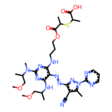 COCC(C)Nc1nc(N(C)C(C)COC)nc(NCCCOC(=O)C(C)SC(C)C(=O)O)c1N=Nc1nn(-c2ncccn2)c(C)c1C#N